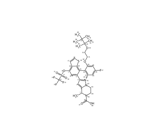 CC1c2cc(-c3nc(OS(=O)(=O)C(F)(F)F)c4ccsc4c3-c3c(F)cc(F)cc3OCCO[Si](C)(C)C(C)(C)C)nn2CCN1C(=O)O